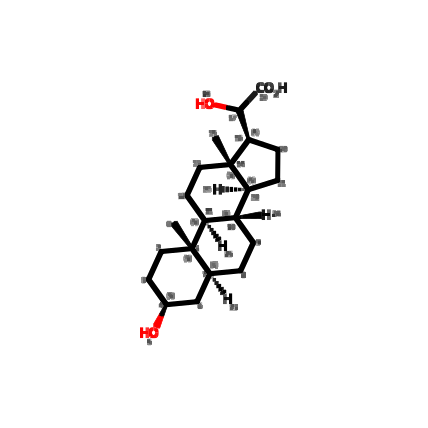 C[C@]12CC[C@H](O)C[C@@H]1CC[C@@H]1[C@@H]2CC[C@]2(C)[C@@H](C(O)C(=O)O)CC[C@@H]12